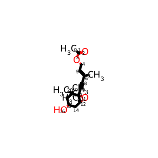 CC(=O)OCC=C(C)C#CC12OC1(C)CC(O)CC2(C)C